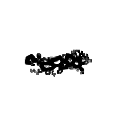 CC1(C)CC[C@]2(NS(=O)(=O)c3cccs3)CC[C@]3(C)C(C(=O)C=C4[C@@]5(C)C=C(C#N)C(=O)C(C)(C)[C@@H]5CC[C@]43C)C2C1